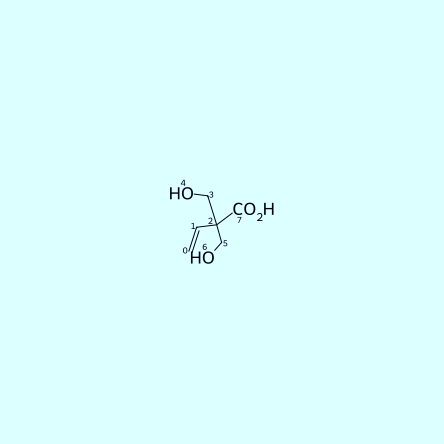 C=CC(CO)(CO)C(=O)O